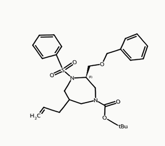 C=CCC1CN(C(=O)OC(C)(C)C)C[C@H](COCc2ccccc2)N(S(=O)(=O)c2ccccc2)C1